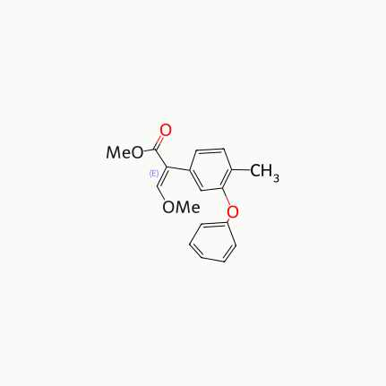 CO/C=C(/C(=O)OC)c1ccc(C)c(Oc2ccccc2)c1